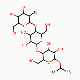 CC(C)OC1OC(CO)C(OC2OC(CO)C(OC3OC(CO)C(O)C(O)[CH]3[Re])C(O)C2O)C(O)C1O